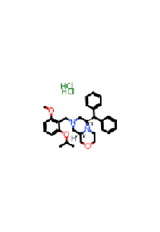 COc1cccc(OC(C)C)c1CN1C[C@@H]2COCCN2[C@H](C(c2ccccc2)c2ccccc2)C1.Cl.Cl